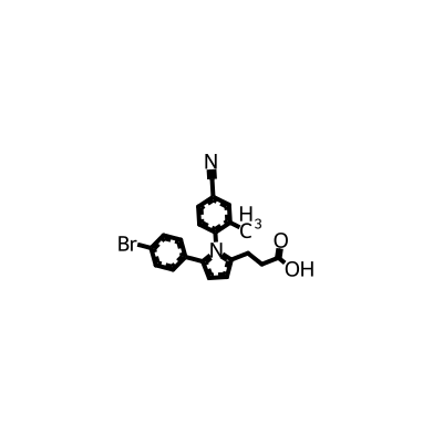 Cc1cc(C#N)ccc1-n1c(CCC(=O)O)ccc1-c1ccc(Br)cc1